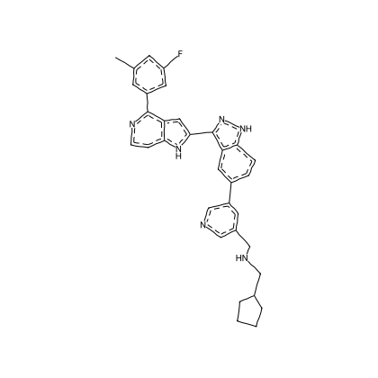 Cc1cc(F)cc(-c2nccc3[nH]c(-c4n[nH]c5ccc(-c6cncc(CNCC7CCCC7)c6)cc45)cc23)c1